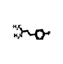 [CH2]C(N)CCc1ccc(F)cc1